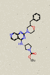 CC(C)(C)OC(=O)N1CC[C@@H](Nc2nc(N3CCOC(Cc4ccccc4)C3)nc3cnccc23)C1